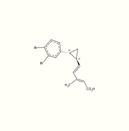 CC(C=C[C@@H]1C[C@H]1c1ccc(Br)c(Br)c1)=CC(=O)O